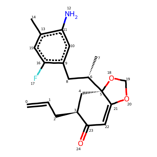 C=CC[C@H]1C[C@]2([C@@H](C)Cc3cc(N)c(C)cc3F)OCOC2=CC1=O